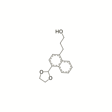 OCCCc1ccc(C2OCCO2)c2ccccc12